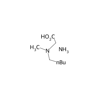 CCCCCN(C)CC(=O)O.N